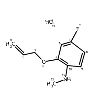 C=CCOc1cc(F)ccc1NC.Cl